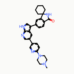 CN1CCN(c2ccc(-c3cnc4[nH]cc(-c5ccc6c(c5)C5(CCCCC5)NC6=O)c4c3)cn2)CC1